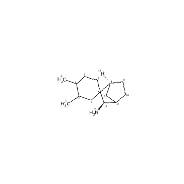 CC1CCC2(CC1C)[C@H]1CCC(C1)[C@H]2N